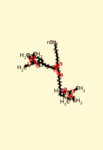 C=CCOCC(COCC=C)(COCC=C)COC(=O)C1(C)CC(CCCC)C=CC1/C=C/CCCCCCCC(=O)OCC(COC(=O)CCCCCCC/C=C/C/C=C/CCCC)OC(=O)CCCCCCCC1C=CC(/C=C/CCCC)CC1(C)C(=O)OCC(COCC=C)(COCC=C)COCC=C